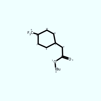 CC(C)(C)OC(=O)CC1CCC(C(F)(F)F)CC1